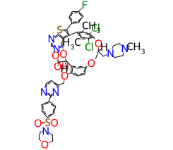 Cc1c(Cl)c2c(Cl)c(C)c1-c1c(-c3ccc(F)cc3)sc3ncnc(c13)O[C@@H](C(=O)O)c1cc(ccc1OCc1ccnc(-c3ccc(S(=O)(=O)N4CCOCC4)cc3)n1)OC[C@@H](CN1CCN(C)CC1)O2